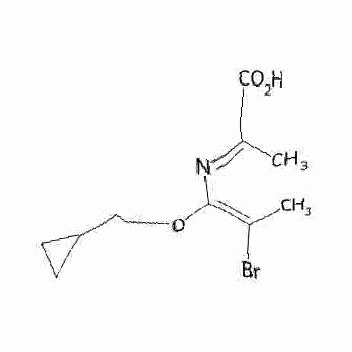 C/C(Br)=C(\N=C(/C)C(=O)O)OCC1CC1